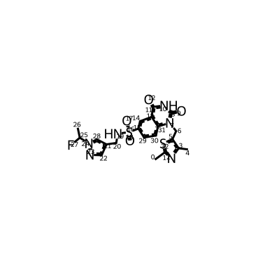 Cc1nc(C)c(Cn2c(=O)[nH]c(=O)c3cc(S(=O)(=O)NCc4cnn(C(C)F)c4)ccc32)s1